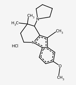 COc1ccc2c(c1)c(C)c1n2CCC(C)(C)C1N1CCCC1.Cl